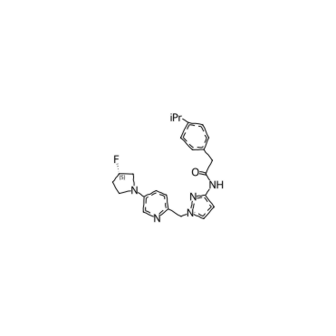 CC(C)c1ccc(CC(=O)Nc2ccn(Cc3ccc(N4CC[C@H](F)C4)cn3)n2)cc1